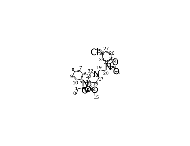 CCC(=O)N(c1ccccc1)C1(C(=O)OC)CCN(CCn2c(=O)oc3ccc(Cl)cc32)CC1